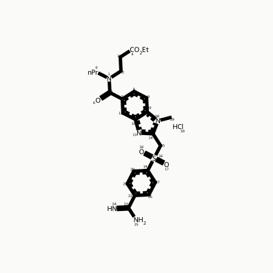 CCCN(CCC(=O)OCC)C(=O)c1ccc2c(c1)nc(CS(=O)(=O)c1ccc(C(=N)N)cc1)n2C.Cl